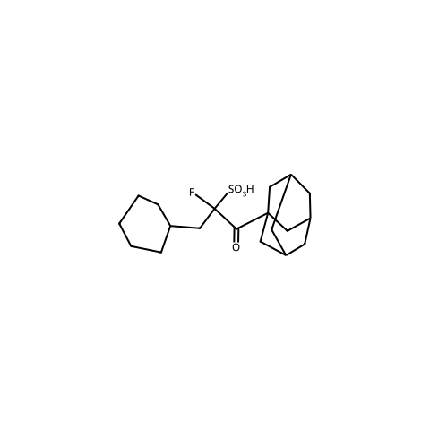 O=C(C12CC3CC(CC(C3)C1)C2)C(F)(CC1CCCCC1)S(=O)(=O)O